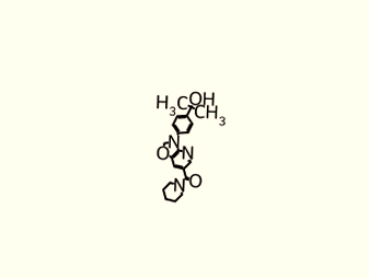 CC(C)(O)c1ccc(N2COc3cc(C(=O)N4CCCCC4)cnc32)cc1